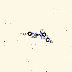 CCOC(=O)c1ccc(NCC#Cc2cc3c(N[C@H]4CCN(CC)C[C@H]4F)cccc3n2CC(F)(F)F)c(OC)c1